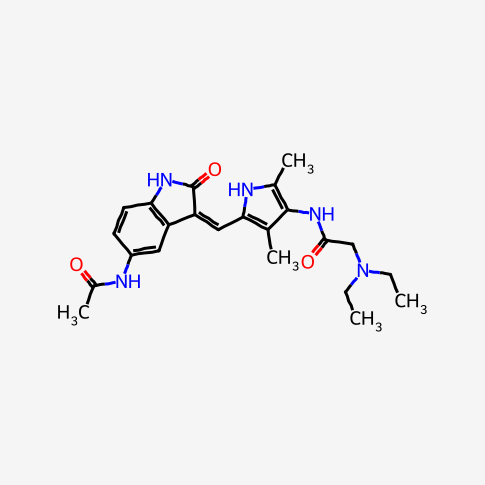 CCN(CC)CC(=O)Nc1c(C)[nH]c(/C=C2\C(=O)Nc3ccc(NC(C)=O)cc32)c1C